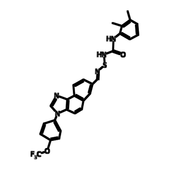 Cc1cccc(NC(=O)NS/N=C/c2ccc3c(ccc4c3ncn4-c3ccc(OC(F)(F)F)cc3)c2)c1C